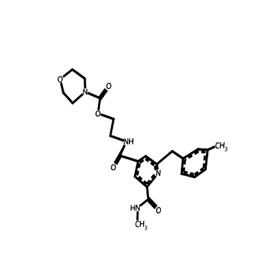 CNC(=O)c1cc(C(=O)NCCOC(=O)N2CCOCC2)cc(Cc2cccc(C)c2)n1